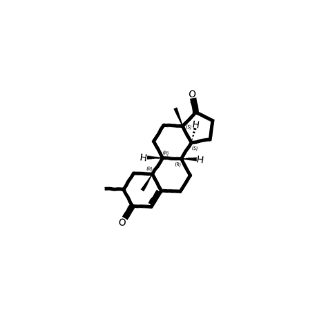 CC1C[C@@]2(C)C(=CC1=O)CC[C@@H]1[C@H]2CC[C@]2(C)C(=O)CC[C@@H]12